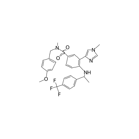 COc1ccc(CN(C)S(=O)(=O)c2ccc(NC(C)c3ccc(C(F)(F)F)cc3)c(-c3cn(C)cn3)c2)cc1